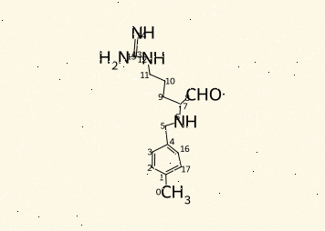 Cc1ccc(CNC([C]=O)CCCNC(=N)N)cc1